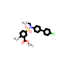 CCN(c1ccc(-c2ccc(Cl)cc2)cc1)S(=O)(=O)c1ccc(C)c(C(=O)OC)c1